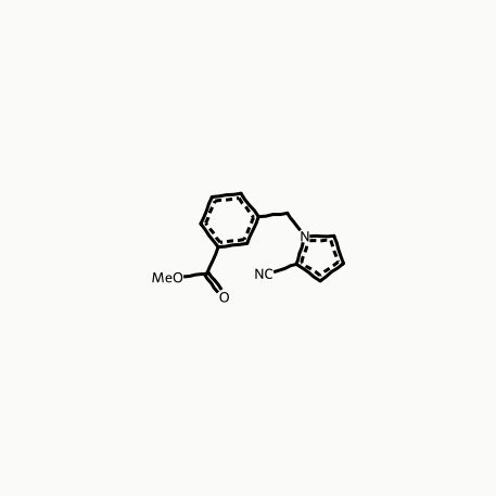 COC(=O)c1cccc(Cn2cccc2C#N)c1